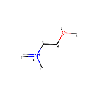 C=[N+](C)CCOC